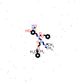 CCN(CC)CCN(CCN(CCc1ccc(O)c2[nH]c(=O)sc12)C(=O)OCc1ccccc1)C(=O)CCOCC(C)(C)c1ccccc1